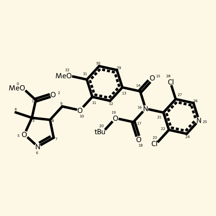 COC(=O)C1(C)ON=CC1COc1cc(C(=O)N(C(=O)OC(C)(C)C)c2c(Cl)cncc2Cl)ccc1OC